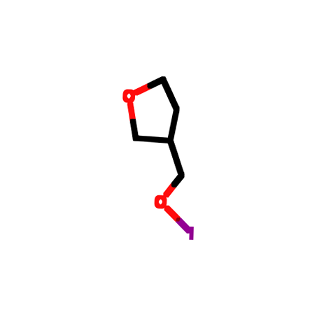 IOCC1CCOC1